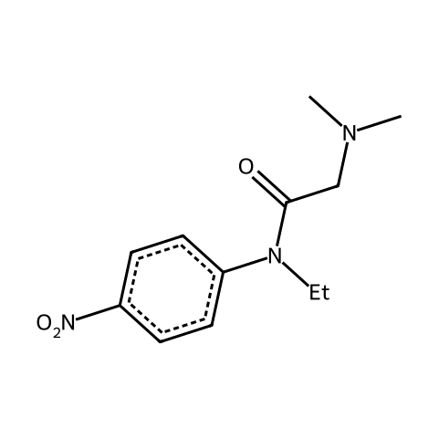 CCN(C(=O)CN(C)C)c1ccc([N+](=O)[O-])cc1